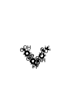 CC(C)(C)OC(=O)N1CCC(NS(=O)(=O)c2cc(S(=O)(=O)c3ccc(C(=O)O)cc3)ccc2C(F)(F)F)CC1